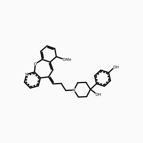 COC1C=CC=C2Oc3ncccc3C(=CCCN3CCC(O)(c4ccc(O)cc4)CC3)C=C21